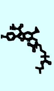 CNC(=O)c1c(-c2ccc(F)cc2)oc2nc(CN(CCCC(C)(C)C(=O)OCC(C)C)[SH](=O)=O)c(C3CC3)cc12